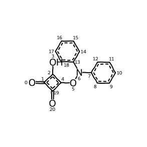 O=c1c(O)c(ON(c2ccccc2)c2ccccc2)c1=O